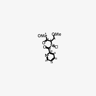 COCC(C(=O)OC)N(Cl)C(=O)c1ccccn1